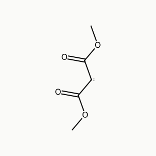 COC(=O)[C]C(=O)OC